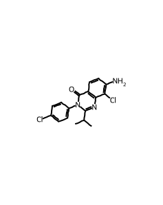 CC(C)c1nc2c(Cl)c(N)ccc2c(=O)n1-c1ccc(Cl)cc1